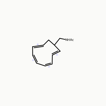 CC(=O)NCC1/C=C/C=C\C=C/C=C/C1